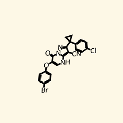 N#Cc1c(C2(c3ccc(Cl)cc3)CC2)nn2c(=O)c(Oc3ccc(Br)cc3)c[nH]c12